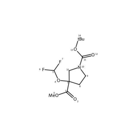 COC(=O)C1(OC(F)F)CCN(C(=O)OC(C)(C)C)C1